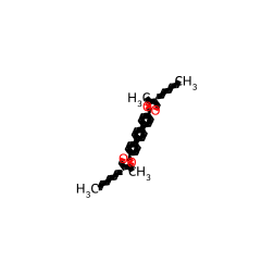 CCCCCCCC[C@@H]1CO[C@@H](c2ccc(-c3ccc(-c4ccc([C@@H]5OC[C@@H](CCCCCCC)C(C)O5)cc4)cc3)cc2)OC1C